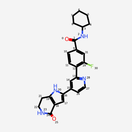 O=C(NC1CCCCC1)c1ccc(-c2cc(-c3cc4c([nH]3)CCNC4=O)ccn2)c(F)c1